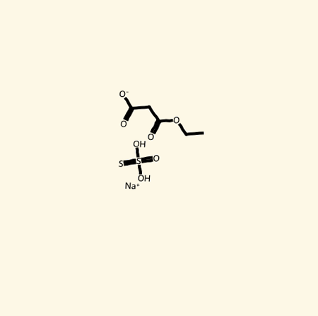 CCOC(=O)CC(=O)[O-].O=S(O)(O)=S.[Na+]